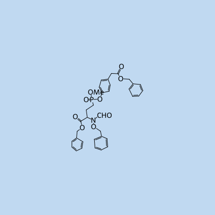 COP(=O)(CCC(C(=O)OCc1ccccc1)N(C=O)OCc1ccccc1)Oc1ccc(CC(=O)OCc2ccccc2)cc1